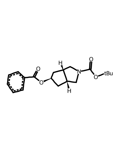 CC(C)(C)OC(=O)N1C[C@H]2C[C@H](OC(=O)c3ccccc3)C[C@H]2C1